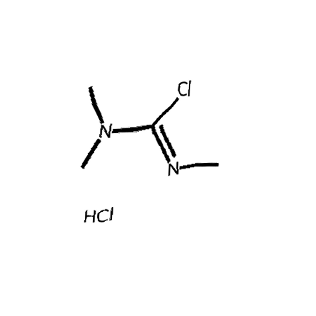 CN=C(Cl)N(C)C.Cl